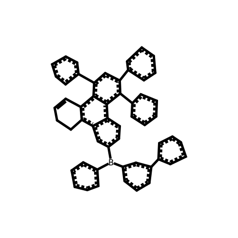 C1=Cc2c(c3cc(B(c4ccccc4)c4cccc(-c5ccccc5)c4)ccc3c3c(-c4ccccc4)c(-c4ccccc4)cc(-c4ccccc4)c23)CC1